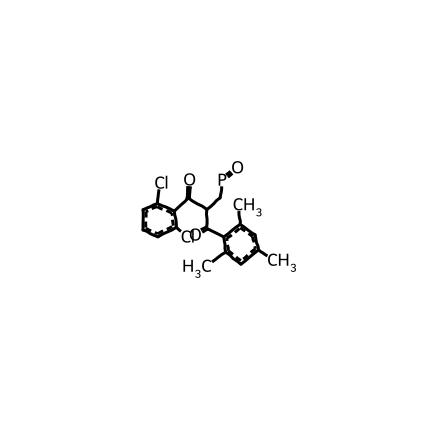 Cc1cc(C)c(C(=O)C(CP=O)C(=O)c2c(Cl)cccc2Cl)c(C)c1